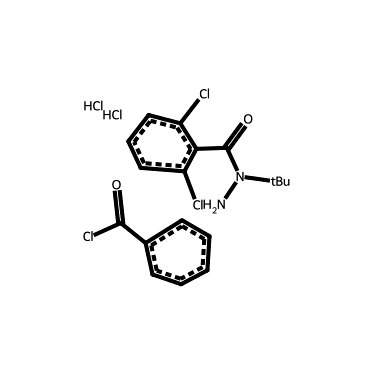 CC(C)(C)N(N)C(=O)c1c(Cl)cccc1Cl.Cl.Cl.O=C(Cl)c1ccccc1